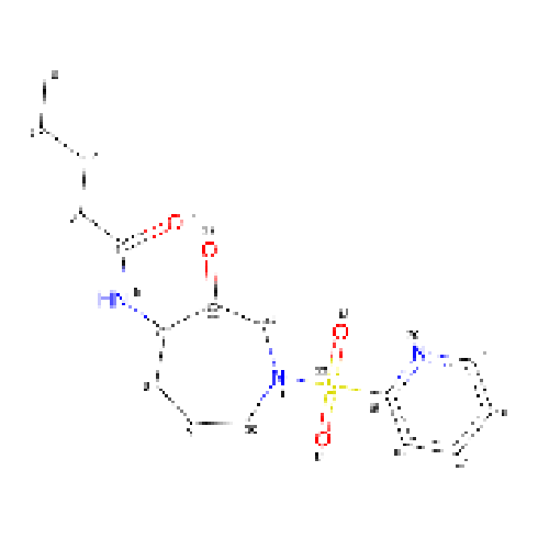 C[CH]CCC(=O)NC1CCCN(S(=O)(=O)c2ccccn2)CC1=O